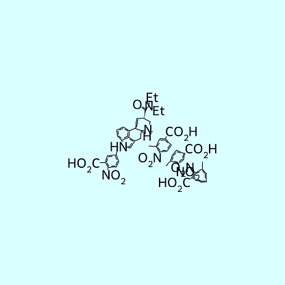 CCN(CC)C(=O)[C@@H]1C=C2c3cccc4[nH]cc(c34)C[C@H]2N(C)C1.Cc1cc(C(=O)O)ccc1[N+](=O)[O-].Cc1ccc(C(=O)O)cc1[N+](=O)[O-].Cc1ccc([N+](=O)[O-])c(C(=O)O)c1.Cc1cccc(C(=O)O)c1[N+](=O)[O-]